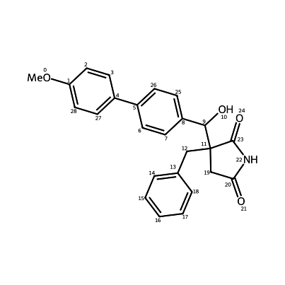 COc1ccc(-c2ccc(C(O)C3(Cc4ccccc4)CC(=O)NC3=O)cc2)cc1